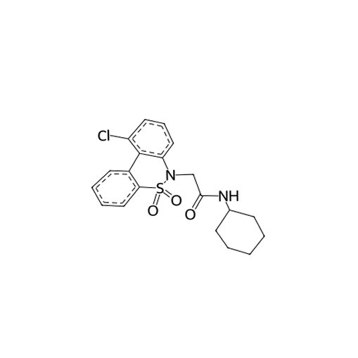 O=C(CN1c2cccc(Cl)c2-c2ccccc2S1(=O)=O)NC1CCCCC1